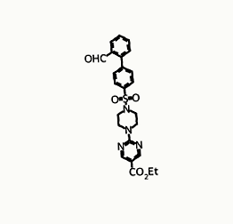 CCOC(=O)c1cnc(N2CCN(S(=O)(=O)c3ccc(-c4ccccc4C=O)cc3)CC2)nc1